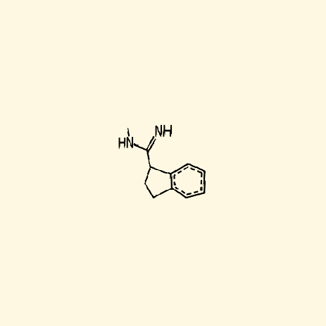 CNC(=N)C1CCc2ccccc21